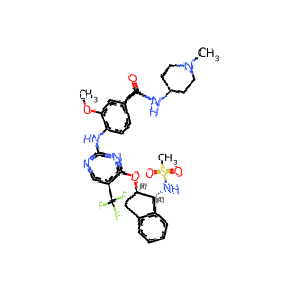 COc1cc(C(=O)NC2CCN(C)CC2)ccc1Nc1ncc(C(F)(F)F)c(O[C@@H]2Cc3ccccc3[C@H]2NS(C)(=O)=O)n1